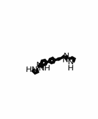 C(#Cc1cnc([C@@H]2CCCN2)[nH]1)c1ccc(-c2ccc3nc([C@@H]4CCCN4)[nH]c3c2)cc1